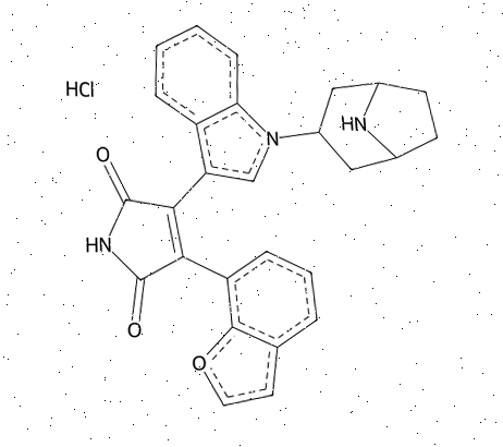 Cl.O=C1NC(=O)C(c2cccc3ccoc23)=C1c1cn(C2CC3CCC(C2)N3)c2ccccc12